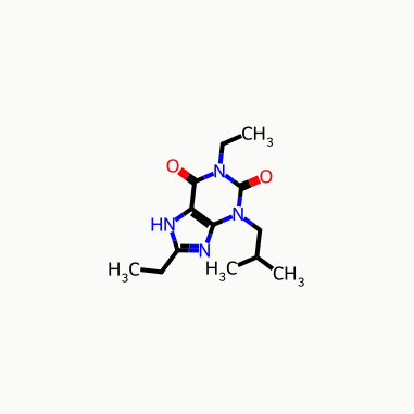 CCc1nc2c([nH]1)c(=O)n(CC)c(=O)n2CC(C)C